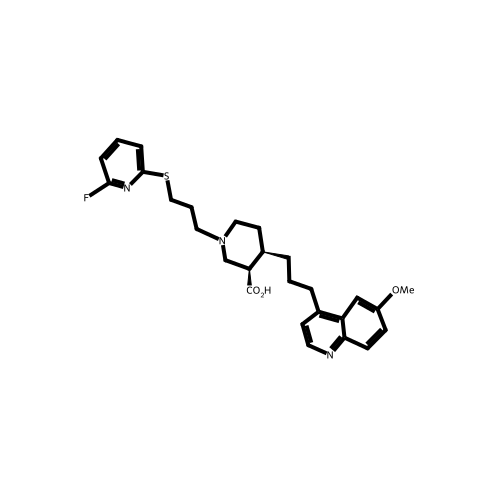 COc1ccc2nccc(CCC[C@@H]3CCN(CCCSc4cccc(F)n4)C[C@@H]3C(=O)O)c2c1